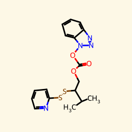 CC(C)C(COC(=O)On1nnc2ccccc21)SSc1ccccn1